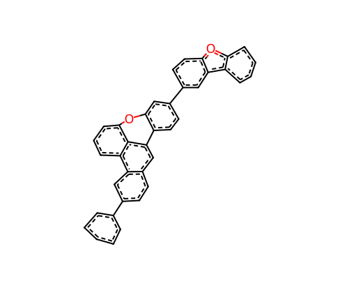 c1ccc(-c2ccc3cc4c5c(cccc5c3c2)Oc2cc(-c3ccc5oc6ccccc6c5c3)ccc2-4)cc1